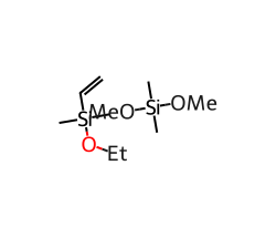 C=C[Si](C)(C)OCC.CO[Si](C)(C)OC